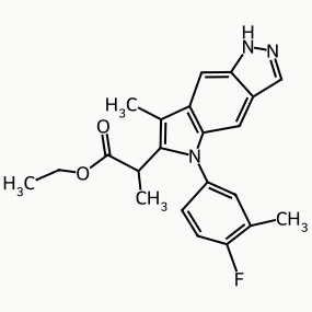 CCOC(=O)C(C)c1c(C)c2cc3[nH]ncc3cc2n1-c1ccc(F)c(C)c1